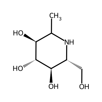 CC1N[C@H](CO)[C@@H](O)[C@H](O)[C@H]1O